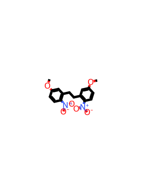 COc1ccc([N+](=O)[O-])c(CCc2cc(OC)ccc2[N+](=O)[O-])c1